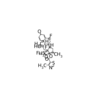 Cc1ncsc1C(=O)O[C@]1(C(=O)SCF)[C@H](C)C[C@H]2[C@@H]3C[C@H](F)C4=CC(=O)C=C[C@]4(C)C3(F)[C@@H](O)C[C@@]21C